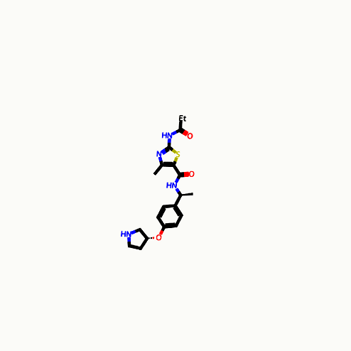 CCC(=O)Nc1nc(C)c(C(=O)N[C@@H](C)c2ccc(O[C@@H]3CCNC3)cc2)s1